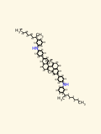 CCCCCCC(C)c1cccc(Nc2ccc(C3=CC4=C(CC3)C(C3=C(C)CCC5CC(c6ccc(Nc7cccc(C(C)CCCCCC)c7)cc6)=CC=C35)=C(C)CC4)cc2)c1